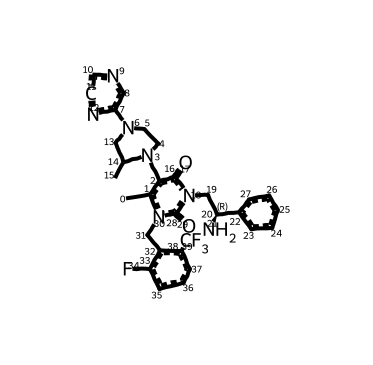 Cc1c(N2CCN(c3cnccn3)CC2C)c(=O)n(C[C@H](N)c2ccccc2)c(=O)n1Cc1c(F)cccc1C(F)(F)F